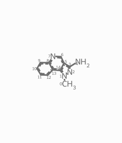 Cn1nc(N)c2cnc3ccccc3c21